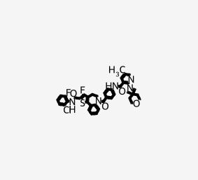 Cc1cnc(N2CC3(CCOCC3)C2)c(C(=O)Nc2ccc(C(=O)N3CCc4c(sc(C(=O)Nc5c(F)cccc5Cl)c4F)-c4ccccc43)cc2)c1